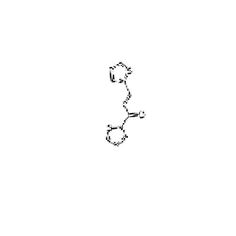 O=C(C=Cc1cccs1)c1cccs1